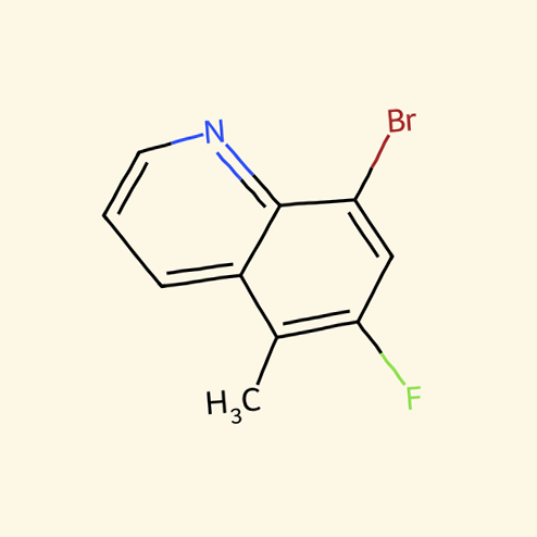 Cc1c(F)cc(Br)c2ncccc12